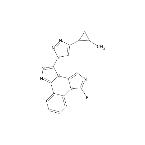 CC1CC1c1cn(-c2nnc3c4ccccc4n4c(F)ncc4n23)nn1